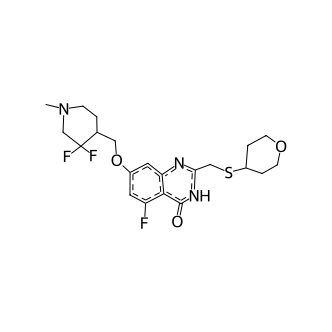 CN1CCC(COc2cc(F)c3c(=O)[nH]c(CSC4CCOCC4)nc3c2)C(F)(F)C1